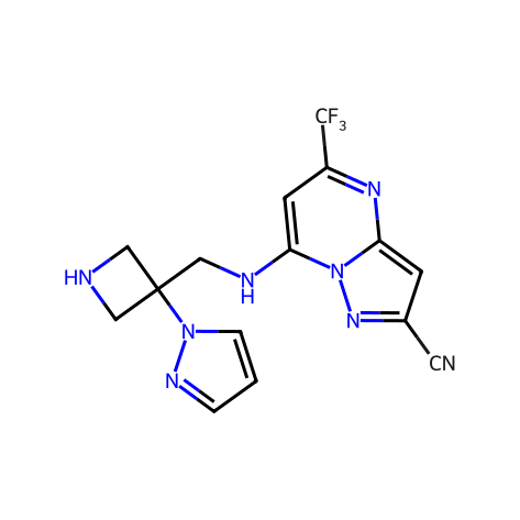 N#Cc1cc2nc(C(F)(F)F)cc(NCC3(n4cccn4)CNC3)n2n1